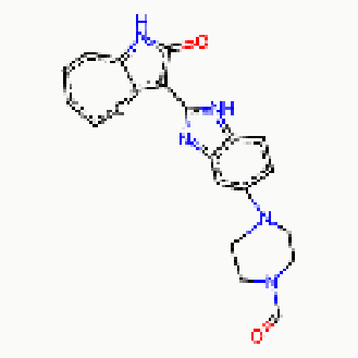 O=CN1CCN(c2ccc3[nH]c(-c4c5cccccc-5[nH]c4=O)nc3c2)CC1